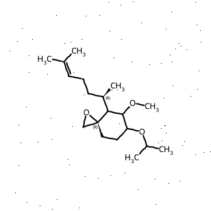 COC1C(OC(C)C)CC[C@]2(CO2)C1[C@H](C)CCC=C(C)C